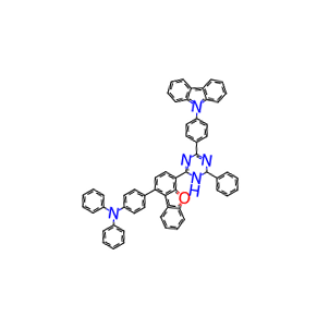 c1ccc(C2N=C(c3ccc(-n4c5ccccc5c5ccccc54)cc3)N=C(c3ccc(-c4ccc(N(c5ccccc5)c5ccccc5)cc4)c4c3oc3ccccc34)N2)cc1